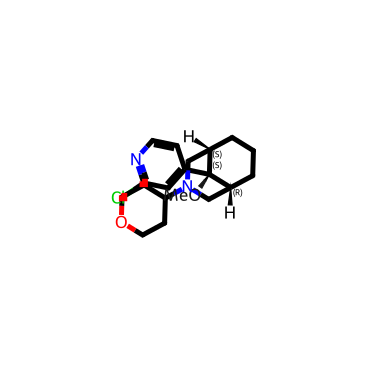 CO[C@]1(c2ccnc(Cl)c2)[C@@H]2CCC[C@H]1CN(C1CCOCC1)C2